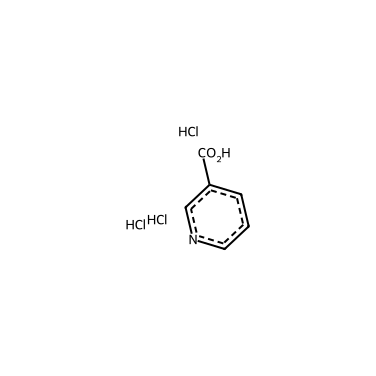 Cl.Cl.Cl.O=C(O)c1cccnc1